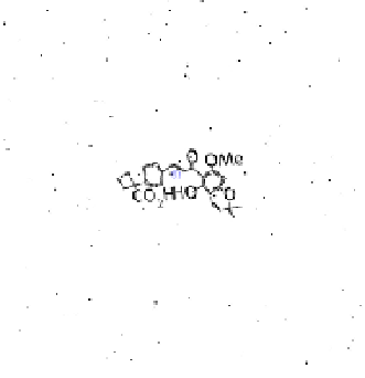 COc1cc2c(c(O)c1C(=O)/C=C/c1ccc(C3(C(=O)O)CCC3)cc1)C=CC(C)(C)O2